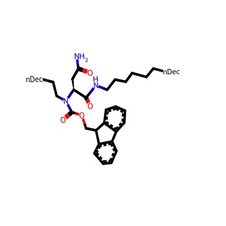 CCCCCCCCCCCCCCCCNC(=O)[C@H](CC(N)=O)N(CCCCCCCCCCCC)C(=O)OCC1c2ccccc2-c2ccccc21